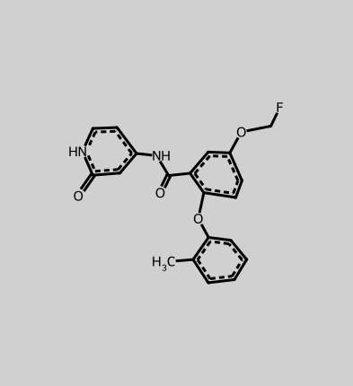 Cc1ccccc1Oc1ccc(OCF)cc1C(=O)Nc1cc[nH]c(=O)c1